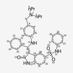 CCCN(CCC)Cc1ccc(NC(=C2C(=O)Nc3ccc(S(=O)(=O)Nc4ccccc4)cc32)c2ccccc2)cc1